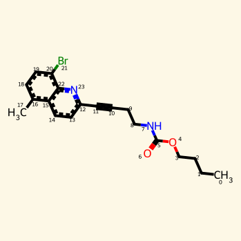 CCCCOC(=O)NCCC#Cc1ccc2c(C)ccc(Br)c2n1